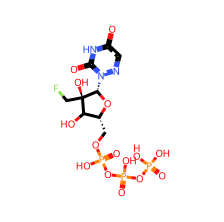 O=c1cnn([C@@H]2O[C@H](COP(=O)(O)OP(=O)(O)OP(=O)(O)O)C(O)[C@]2(O)CF)c(=O)[nH]1